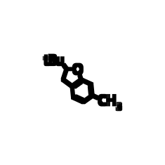 Cc1ccc2c(c1)OC(C(C)(C)C)C2